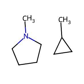 CC1CC1.CN1CCCC1